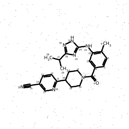 Cc1ccc(C(=O)N2CCC(c3ccc(C#N)cn3)CC2)cc1Nc1nc(C(C)C)n[nH]1